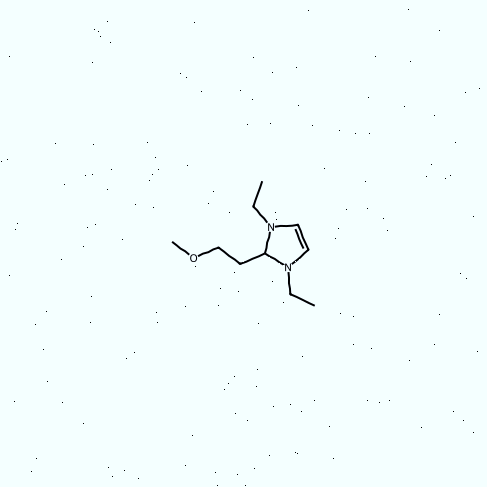 CCN1C=CN(CC)C1CCOC